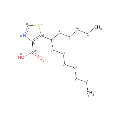 CCCCCCCC(CCCCC)c1scnc1C(=O)O